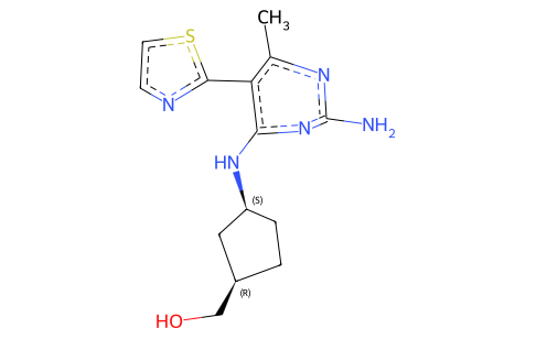 Cc1nc(N)nc(N[C@H]2CC[C@@H](CO)C2)c1-c1nccs1